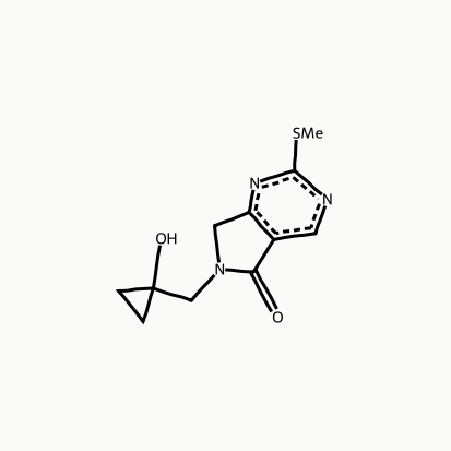 CSc1ncc2c(n1)CN(CC1(O)CC1)C2=O